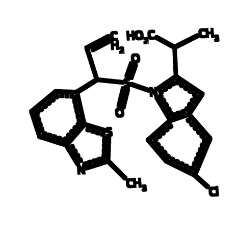 C=CC(c1cccc2nc(C)sc12)S(=O)(=O)n1c(C(C)C(=O)O)cc2cc(Cl)ccc21